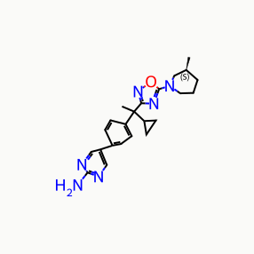 C[C@H]1CCCN(c2nc(C(C)(c3ccc(-c4cnc(N)nc4)cc3)C3CC3)no2)C1